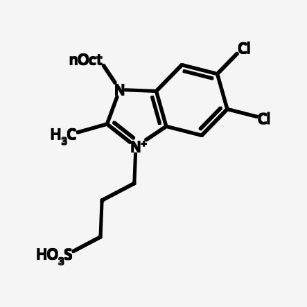 CCCCCCCCn1c(C)[n+](CCCS(=O)(=O)O)c2cc(Cl)c(Cl)cc21